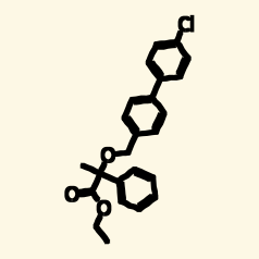 CCOC(=O)C(C)(OCc1ccc(-c2ccc(Cl)cc2)cc1)c1ccccc1